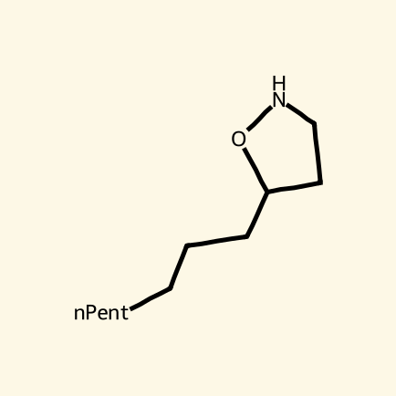 CCCCCCCCC1CCNO1